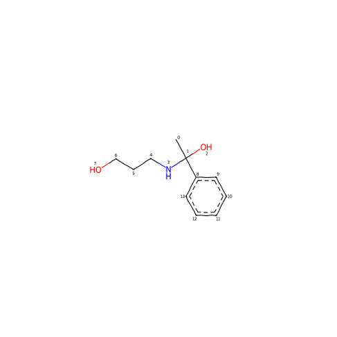 CC(O)(NCCCO)c1ccccc1